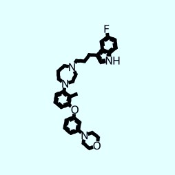 Cc1c(Oc2cccc(N3CCOCC3)c2)cccc1N1CCCN(CCCc2c[nH]c3ccc(F)cc23)CC1